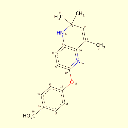 CC1=CC(C)(C)Nc2ccc(Oc3ccc(C(=O)O)cc3)nc21